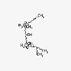 CCCCCCCCCSC(=O)C(C)(C)CCCCCC(O)CCCCCC(C)(C)C(=O)OCC#CCC(CCCC)CCCC